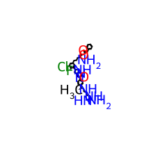 C[C@H](NCCCNC(=N)N)c1ccc(-n2cc3cc(-c4cc(CCC[C@@H](N)COC(=O)Cc5ccccc5)cc(Cl)c4F)[nH]c3nc2=O)cc1